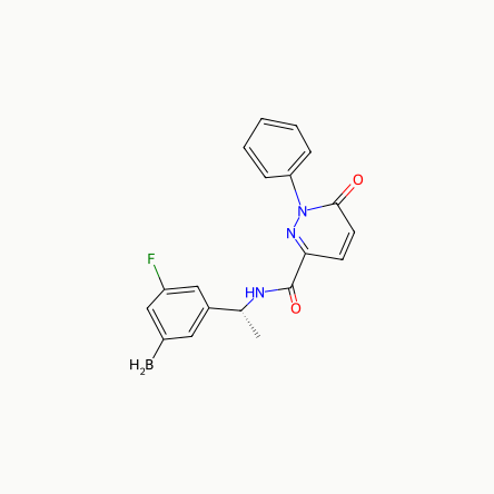 Bc1cc(F)cc([C@@H](C)NC(=O)c2ccc(=O)n(-c3ccccc3)n2)c1